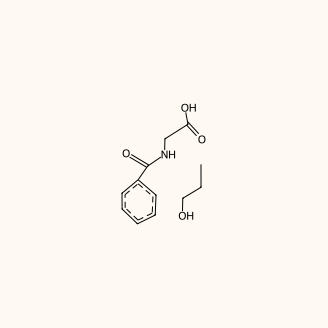 CCCO.O=C(O)CNC(=O)c1ccccc1